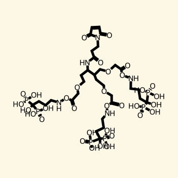 O=C(CCN1C(=O)C=CC1=O)NC(CCOCC(=O)ONCCCC(O)(P(=O)(O)O)P(=O)(O)O)C(CCOCC(=O)ONCCCC(O)(P(=O)(O)O)P(=O)(O)O)COCC(=O)ONCCCC(O)(P(=O)(O)O)P(=O)(O)O